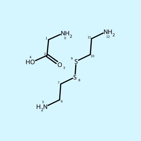 NCC(=O)O.NCCSSCCN